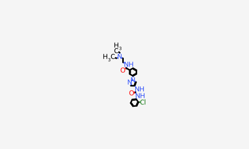 CCN(CC)CCNC(=O)c1cccc(-n2cc(NC(=O)Nc3ccccc3Cl)cn2)c1